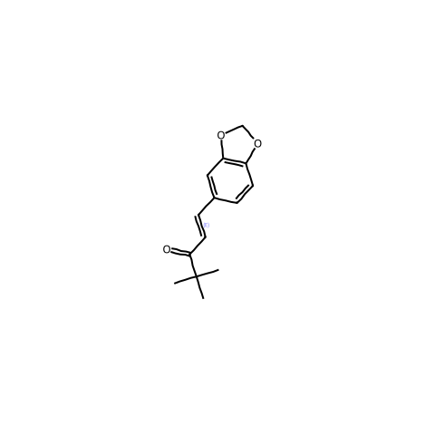 CC(C)(C)C(=O)/C=C/c1ccc2c(c1)OCO2